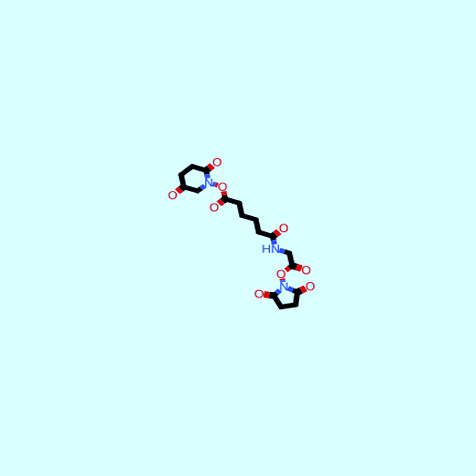 O=C1CCC(=O)N(OC(=O)CCCCC(=O)NCC(=O)ON2C(=O)CCC2=O)C1